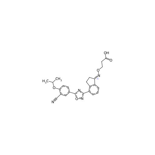 CC(C)Oc1ccc(-c2nc(-c3cccc4c3CC/C4=N\OCCC(=O)O)no2)cc1C#N